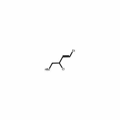 CCC=CC(Cl)CCCCC